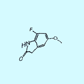 COc1cc(F)c2c(c1)CC(=O)N2